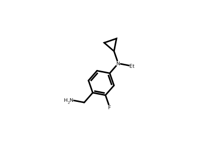 CCN(c1ccc(CN)c(F)c1)C1CC1